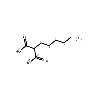 C.CCCCCC(C(=O)O)C(=O)O